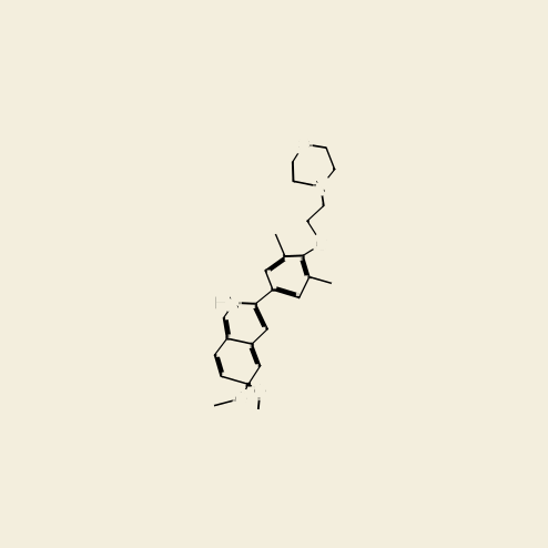 COC1(OC)C=CC2=CNC(c3cc(C)c(OCCN4CCOCC4)c(C)c3)=CC2=C1